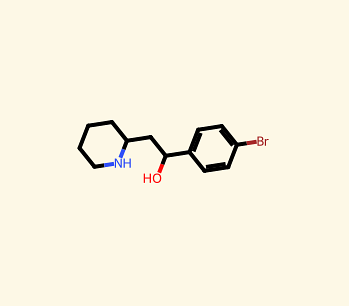 OC(CC1CCCCN1)c1ccc(Br)cc1